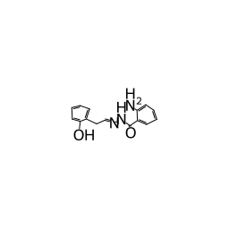 Nc1ccccc1C(=O)NN=CCc1ccccc1O